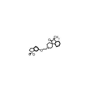 CN1C(=O)C2(CCN(CCOc3ccc4c(c3)S(=O)(=O)CC4)CC2)c2ccccc21